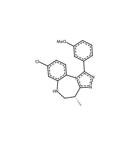 COc1cccc(-c2nnc3n2-c2ccc(Cl)cc2NC[C@H]3C)c1